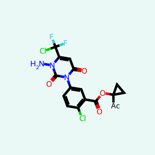 CC(=O)C1(OC(=O)c2cc(-n3c(=O)cc(C(F)(F)Cl)n(N)c3=O)ccc2Cl)CC1